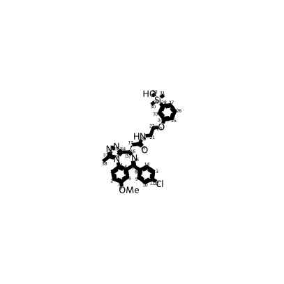 COc1ccc2c(c1)C(c1ccc(Cl)cc1)=N[C@@H](CC(=O)NCCOc1cccc([Si](C)(C)O)c1)c1nnc(C)n1-2